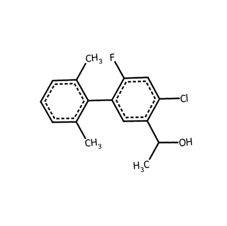 Cc1cccc(C)c1-c1cc(C(C)O)c(Cl)cc1F